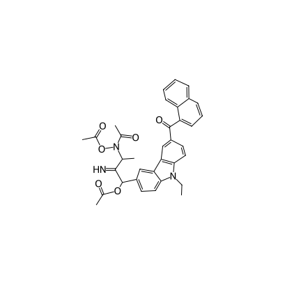 CCn1c2ccc(C(=O)c3cccc4ccccc34)cc2c2cc(C(OC(C)=O)C(=N)C(C)N(OC(C)=O)C(C)=O)ccc21